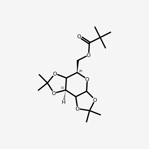 CC1(C)OC2O[C@H](COC(=O)C(C)(C)C)C3OC(C)(C)O[C@@H]3C2O1